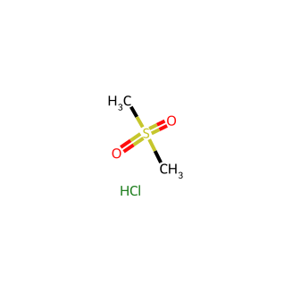 CS(C)(=O)=O.Cl